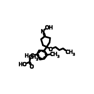 CC(=O)O.CCCCOC1(c2cc(C)ccc2C)CCC(=NO)CC1